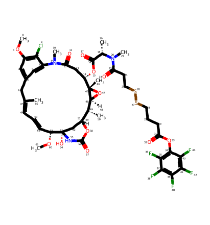 COc1cc2cc(c1Cl)N(C)C(=O)C[C@H](OC(=O)[C@H](C)N(C)C(=O)CCSSCCCC(=O)Oc1c(F)c(F)c(F)c(F)c1F)[C@]1(C)O[C@H]1[C@H](C)[C@@H]1C[C@@](O)(NC(=O)O1)[C@H](OC)/C=C/C=C(\C)C2